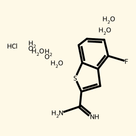 Cl.N=C(N)c1cc2c(F)cccc2s1.O.O.O.O.O.O